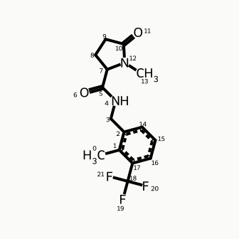 Cc1c(CNC(=O)C2CCC(=O)N2C)cccc1C(F)(F)F